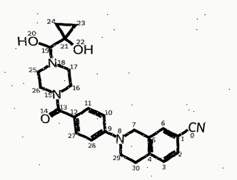 N#Cc1ccc2c(c1)CN(c1ccc(C(=O)N3CCN(C(O)C4(O)CC4)CC3)cc1)CC2